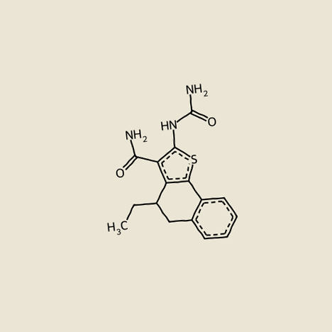 CCC1Cc2ccccc2-c2sc(NC(N)=O)c(C(N)=O)c21